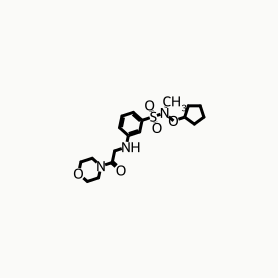 CN(OC1CCCC1)S(=O)(=O)c1cccc(NCC(=O)N2CCOCC2)c1